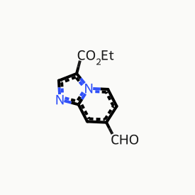 CCOC(=O)c1cnc2cc(C=O)ccn12